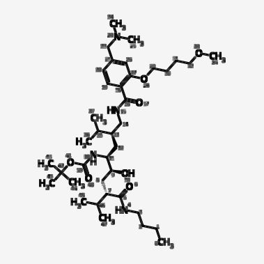 CCCCNC(=O)[C@@H](C[C@H](O)[C@H](C[C@H](CNC(=O)c1ccc(CN(C)C)cc1OCCCCOC)C(C)C)NC(=O)OC(C)(C)C)C(C)C